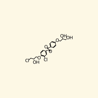 O=S(=O)(c1ccc(OC[C@@H](O)CO)cc1)c1ccc(OC[C@H](O)CCl)c(Cl)c1